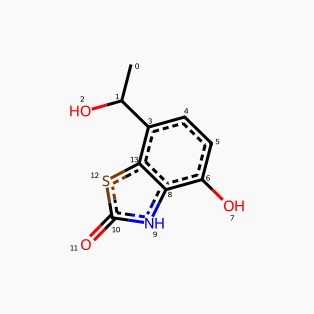 CC(O)c1ccc(O)c2[nH]c(=O)sc12